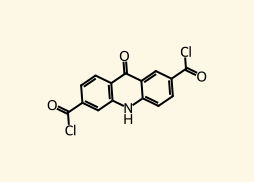 O=C(Cl)c1ccc2c(=O)c3cc(C(=O)Cl)ccc3[nH]c2c1